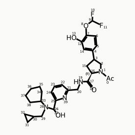 CC(=O)N1CC(c2ccc(OC(F)F)c(O)c2)C[C@@H]1C(=O)NCc1cccc(C(O)N(CC2CC2)C2CCCCC2)n1